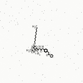 CCCCCCCCCCCCO[C@H]1O[C@H]([C@H](C)NC(=O)Nc2ccc(CC(=O)N3CCCC3)cc2)[C@@H]2OC(C)(C)O[C@H]12